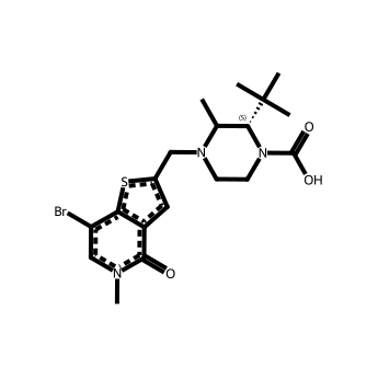 CC1[C@H](C(C)(C)C)N(C(=O)O)CCN1Cc1cc2c(=O)n(C)cc(Br)c2s1